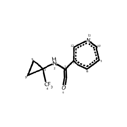 O=C(NC1(C(F)(F)F)CC1)c1cccnc1